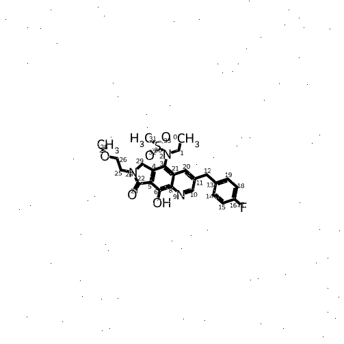 CCN(c1c2c(c(O)c3ncc(Cc4ccc(F)cc4)cc13)C(=O)N(CCOC)C2)S(C)(=O)=O